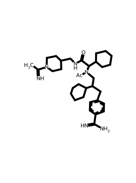 CC(=N)N1CCC(CNC(=O)C(C2CCCCC2)N(CC(Cc2ccc(C(=N)N)cc2)C2CCCCC2)C(C)=O)CC1